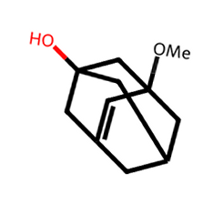 COC12C=C3CC(CC(O)(C3)C1)C2